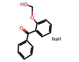 O=C(c1ccccc1)c1ccccc1OCO.[NaH]